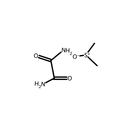 C[S+](C)[O-].NC(=O)C(N)=O